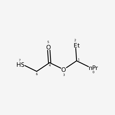 CCCC(CC)OC(=O)CS